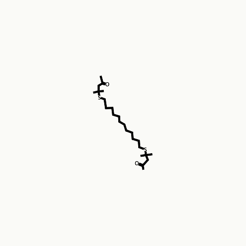 CC(=O)CC(C)(C)SCCCCCCCCCCCCSC(C)(C)CC(C)=O